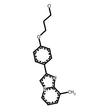 Cc1cccn2cc(-c3ccc(OCCCCl)cc3)nc12